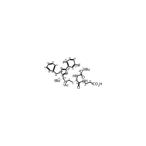 CC(=O)N(CC[C@H](NC(=O)OC(C)(C)C)C(=O)NCCC(=O)O)[C@@H](c1nc(-c2cc(F)ccc2F)cn1Cc1ccccc1)C(C)(C)C